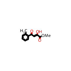 COC(=O)C(O)=CC(=O)c1ccccc1C